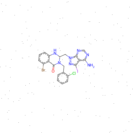 Nc1ncnc2c1c(I)nn2CC1Nc2cccc(Br)c2C(=O)N1Cc1ccccc1Cl